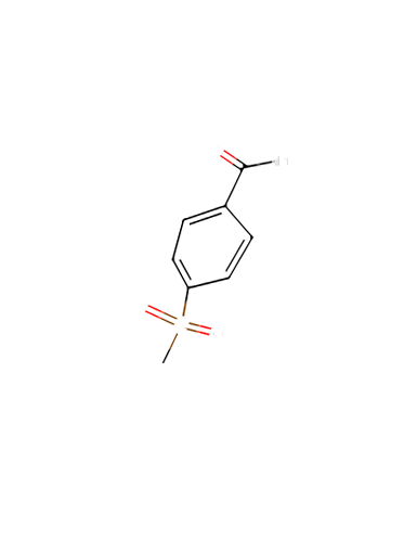 CC(C)C(=O)c1ccc(S(C)(=O)=O)cc1